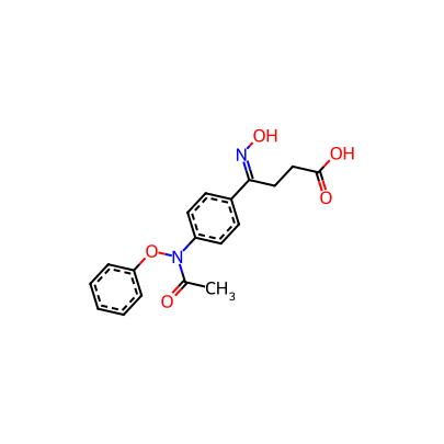 CC(=O)N(Oc1ccccc1)c1ccc(C(CCC(=O)O)=NO)cc1